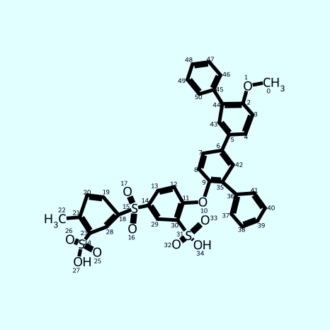 COc1ccc(-c2ccc(Oc3ccc(S(=O)(=O)c4ccc(C)c(S(=O)(=O)O)c4)cc3S(=O)(=O)O)c(-c3ccccc3)c2)cc1-c1ccccc1